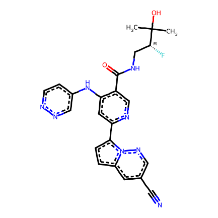 CC(C)(O)[C@H](F)CNC(=O)c1cnc(-c2ccc3cc(C#N)cnn23)cc1Nc1ccnnc1